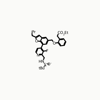 CCOC(=O)Cc1ccccc1OCc1cc(-c2ccnc(CN[S@@+]([O-])C(C)(C)C)c2F)c2oc(CC(C)C)cc2c1